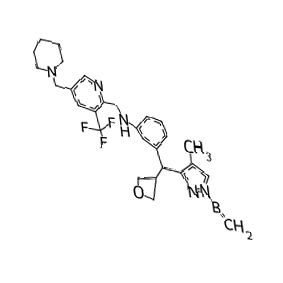 C=Bn1cc(C)c(C(c2cccc(NCc3ncc(CN4CCCCC4)cc3C(F)(F)F)c2)C2COC2)n1